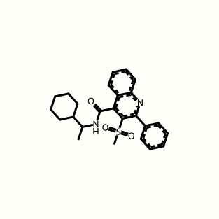 CC(NC(=O)c1c(S(C)(=O)=O)c(-c2ccccc2)nc2ccccc12)C1CCCCC1